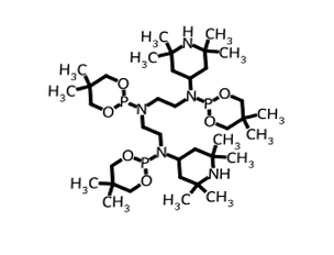 CC1(C)COP(N(CCN(C2CC(C)(C)NC(C)(C)C2)P2OCC(C)(C)CO2)CCN(C2CC(C)(C)NC(C)(C)C2)P2OCC(C)(C)CO2)OC1